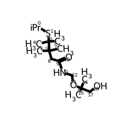 CC(C)SC(C)(C)C(C)(C)CC(=O)NCOC(C)(C)CO